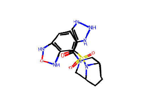 O=C(C1=CNNN1)N1CC2CCC(C1)N2S(=O)(=O)c1cccc2c1NON2